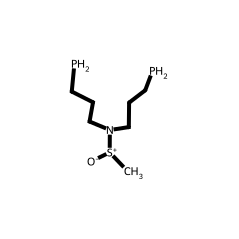 C[S+]([O-])N(CCCP)CCCP